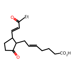 CCC(=O)C=CC1CCC(=O)C1CC=CCCCC(=O)O